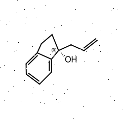 C=CC[C@]1(O)CCc2ccccc21